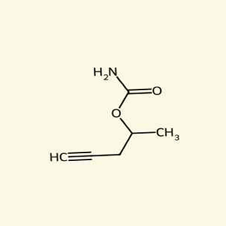 C#CCC(C)OC(N)=O